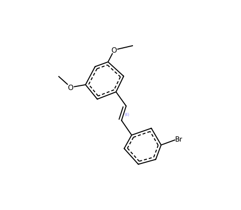 COc1cc(/C=C/c2cccc(Br)c2)cc(OC)c1